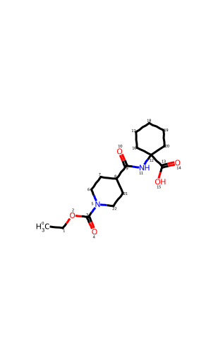 CCOC(=O)N1CCC(C(=O)NC2(C(=O)O)CCCCC2)CC1